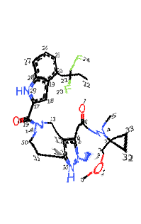 COCC1(N(C)C(=O)c2n[nH]c3c2CN(C(=O)c2cc4c(C(C)(F)F)cccc4[nH]2)CC3)CC1